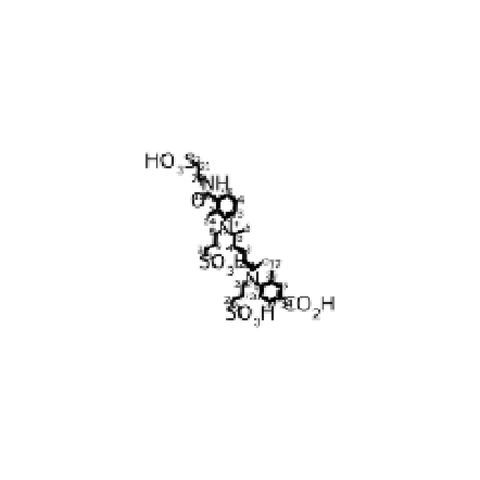 C\C(=C/C=C/C(C)=[N+](\CCCS(=O)(=O)O)c1cccc(C(=O)NCCS(=O)(=O)O)c1C)N(CCCS(=O)(=O)O)c1ccc(C(=O)O)cc1C